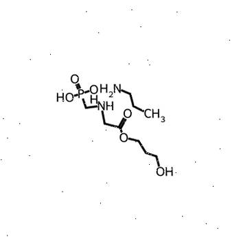 CCCN.O=C(CNCP(=O)(O)O)OCCCO